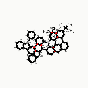 CC(C)(C)c1cc(-c2cccc3cccc(-c4ccccc4N(c4cccc(-c5cccc6c7ccccc7n(-c7ccccc7)c56)c4)c4ccccc4-c4cccc5c4sc4ccccc45)c23)cc(C(C)(C)C)c1